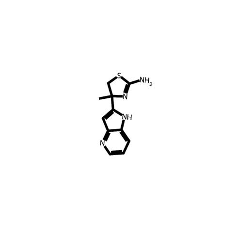 CC1(c2cc3ncccc3[nH]2)CSC(N)=N1